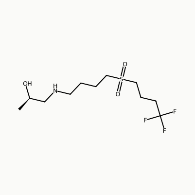 C[C@@H](O)CNCCCCS(=O)(=O)CCCC(F)(F)F